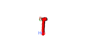 CC(C)(C)OC(=O)NCCOCCOCCOCCOCCOCCOCCOCCOCCOc1cc(Cl)c(Br)cc1S(=O)(=O)N1CCC(C)(C)c2ccccc21